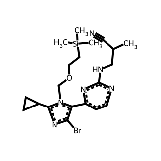 CC(C#N)CNc1nccc(-c2c(Br)nc(C3CC3)n2COCC[Si](C)(C)C)n1